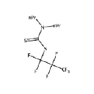 CCCN(CCC)C(=S)SC(F)(F)C(F)(F)C(F)(F)F